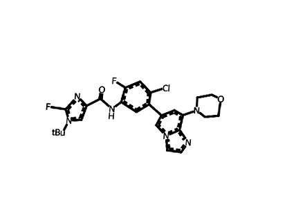 CC(C)(C)n1cc(C(=O)Nc2cc(-c3cc(N4CCOCC4)c4nccn4c3)c(Cl)cc2F)nc1F